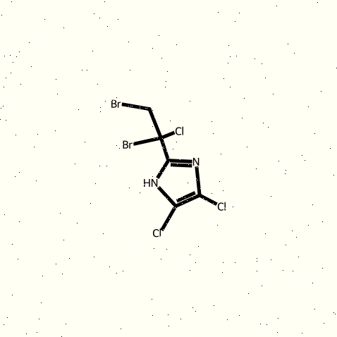 Clc1nc(C(Cl)(Br)CBr)[nH]c1Cl